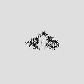 COC(=O)[C@H](CCC(C)(C)C)NC(=O)c1ccc(Oc2cccc(OCC(=O)NCCOC3CCN(C(=O)COCc4cn(C5CCN(CCOc6ncc(-c7nc8c(N[C@H](C)c9cc(C#N)ccc9F)c(Cl)c(C)nc8cc7F)cn6)CC5)nn4)CC3)c2)nc1